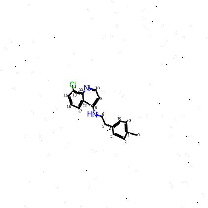 Cc1ccc(CCNc2ccnc3c(Cl)cccc23)cc1